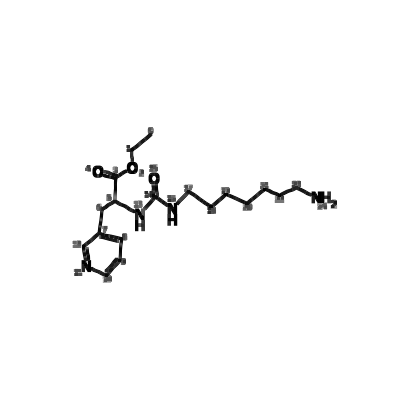 CCOC(=O)C(Cc1cccnc1)NC(=O)NCCCCCCCN